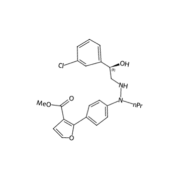 CCCN(NC[C@H](O)c1cccc(Cl)c1)c1ccc(-c2occc2C(=O)OC)cc1